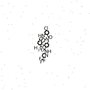 COc1cc(CN2C(=O)c3ccc(Cl)cc3NC(=O)C2Cc2ccccn2)ccc1C(=O)Nc1ccc(C(F)(F)F)cn1